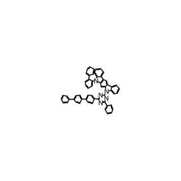 c1ccc(-c2ccc(-c3ccc(-c4nc(-c5ccccc5)nc(-n5c6ccccc6c6cc7c8ccccc8n(-c8ccccc8-c8ccccc8)c7cc65)n4)cc3)cc2)cc1